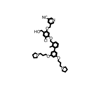 Cc1c(COc2cc(OCc3cncc(C#N)c3)c(CO)cc2Cl)cccc1-c1cc(OCCCN2CCCC2)cc(OCCCN2CCCC2)c1